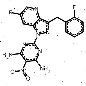 Nc1nc(-n2nc(Cc3ccccc3F)c3ncc(F)cc32)nc(N)c1[N+](=O)[O-]